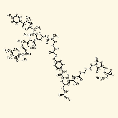 CC[C@H](C)[C@@H]([C@@H](CC(=O)N1C[C@@H](OC(=O)N(C)CCNC(=O)OCc2ccc(NC(=O)[C@H](CCCNC(N)=O)NC(=O)[C@@H](NC(=O)CCCCCN3C(=O)CC(SCC4(CC(=O)O)CC4)C3=O)C(C)C)cc2)C[C@H]1[C@H](OC)[C@@H](C)C(=O)N[C@@H](C)C(=O)c1ccc(F)cc1)OC)N(C)C(=O)[C@@H](NC(=O)[C@H](C(C)C)N(C)C)C(C)C